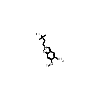 CCOc1cc2nn(CCC(C)(C)O)cc2cc1N